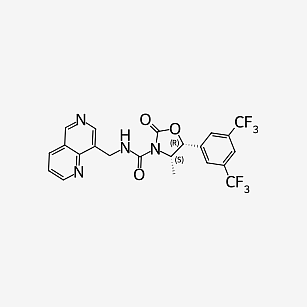 C[C@H]1[C@@H](c2cc(C(F)(F)F)cc(C(F)(F)F)c2)OC(=O)N1C(=O)NCc1cncc2cccnc12